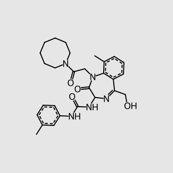 Cc1cccc(NC(=O)NC2N=C(CO)c3cccc(C)c3N(CC(=O)N3CCCCCCC3)C2=O)c1